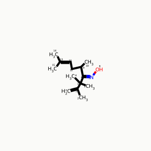 C=C(C)C(C)(C)C(=NO)C(C)CC=C(C)C